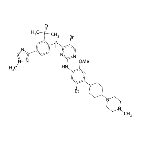 CCc1cc(Nc2ncc(Br)c(Nc3ccc(-c4ncn(C)n4)cc3P(C)(C)=O)n2)c(OC)cc1N1CCC(N2CCN(C)CC2)CC1